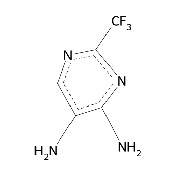 Nc1cnc(C(F)(F)F)nc1N